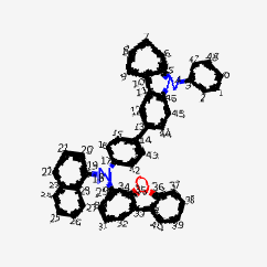 c1ccc(-n2c3ccccc3c3cc(-c4ccc(N(c5cccc6ccccc56)c5cccc6c5oc5ccccc56)cc4)ccc32)cc1